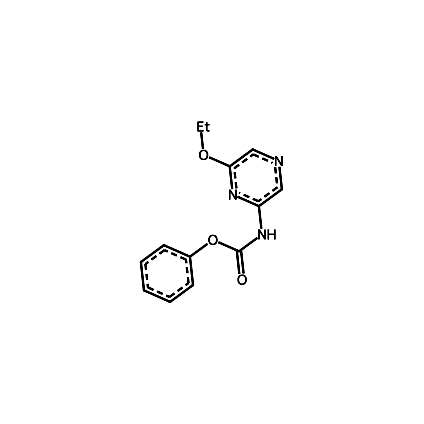 CCOc1cncc(NC(=O)Oc2ccccc2)n1